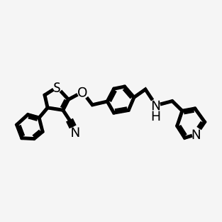 N#CC1=C(OCc2ccc(CNCc3ccncc3)cc2)SCC1c1ccccc1